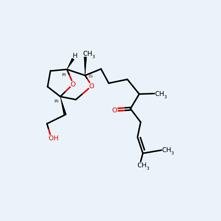 CC(C)=CCC(=O)C(C)CCC[C@]1(C)OC[C@]2(CCO)CC[C@H]1O2